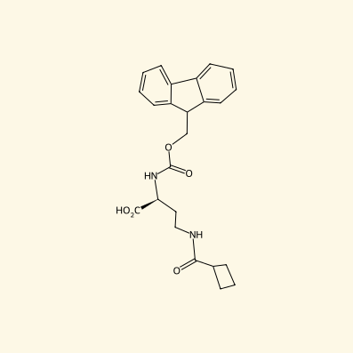 O=C(N[C@@H](CCNC(=O)C1CCC1)C(=O)O)OCC1c2ccccc2-c2ccccc21